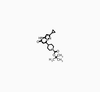 CC(C)(C)OC(=O)N1CCC(c2cc(=O)[nH]c3cc(C4CC4)nn23)CC1